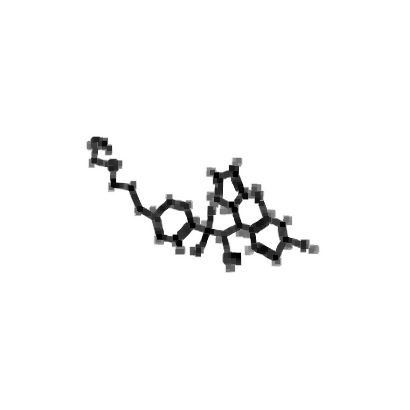 CCOCCCc1ccc(C(F)(F)C(O)C(c2ccc(F)cc2F)n2cnnn2)nc1